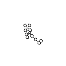 c1ccc(C2(c3ccccc3)c3ccccc3-c3c(N(c4ccc(-c5ccc(-c6cccc7ccccc67)cc5)cc4)c4cccc5ccccc45)cccc32)cc1